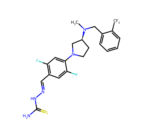 CN(Cc1ccccc1C(F)(F)F)[C@H]1CCN(c2cc(F)c(/C=N/NC(N)=S)cc2F)C1